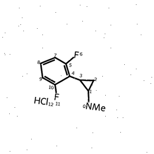 CNC1CC1c1c(F)cccc1F.Cl